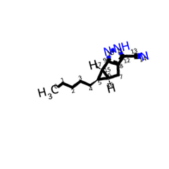 CCCCC[C@@H]1[C@@H]2Cc3c(n[nH]c3C#N)[C@H]12